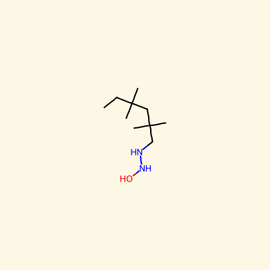 CCC(C)(C)CC(C)(C)CNNO